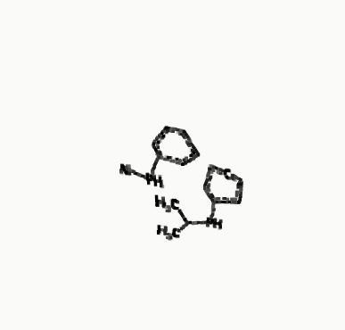 CC(C)Pc1ccccc1.[Ni][PH]c1ccccc1